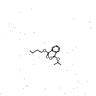 CCCCOC(=O)c1ccccc1C(=O)OC(C)C